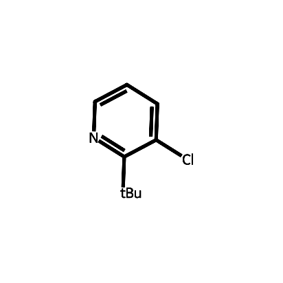 [CH2]C(C)(C)c1ncccc1Cl